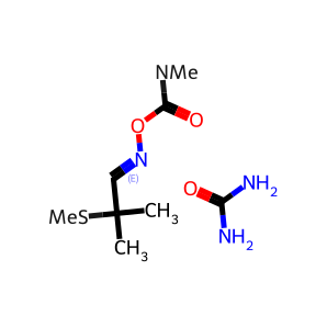 CNC(=O)O/N=C/C(C)(C)SC.NC(N)=O